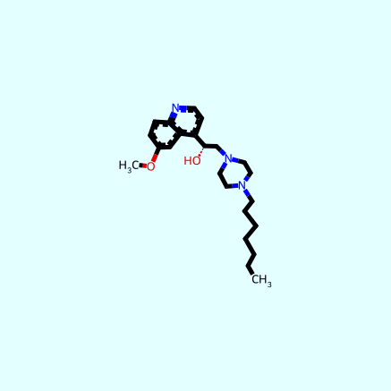 CCCCCCCN1CCN(C[C@H](O)c2ccnc3ccc(OC)cc23)CC1